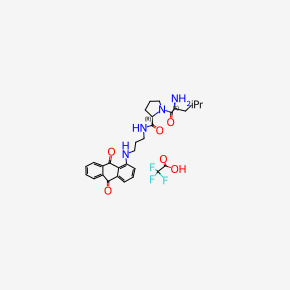 CC(C)C[C@H](N)C(=O)N1CCC[C@@H]1C(=O)NCCCNc1cccc2c1C(=O)c1ccccc1C2=O.O=C(O)C(F)(F)F